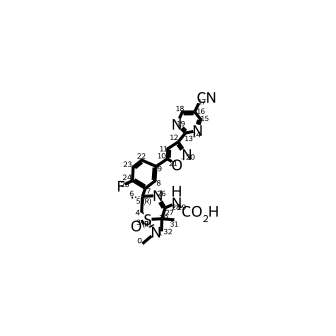 CN=[S@@]1(=O)C[C@@](C)(c2cc(-c3cc(-c4ncc(C#N)cn4)no3)ccc2F)N=C(NC(=O)O)C1(C)C